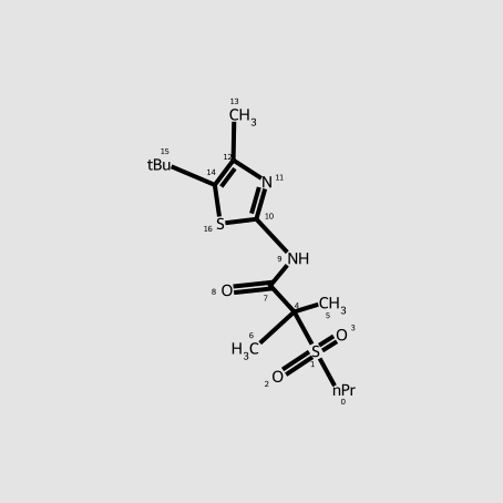 CCCS(=O)(=O)C(C)(C)C(=O)Nc1nc(C)c(C(C)(C)C)s1